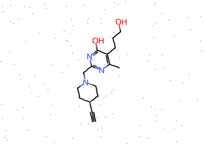 C#CC1CCN(Cc2nc(C)c(CCCO)c(O)n2)CC1